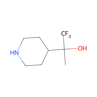 CC(O)(C1CCNCC1)C(F)(F)F